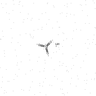 [LiH].[O]=[Ta](=[O])=[O]